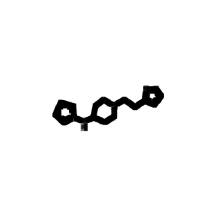 c1csc(CCN2CCC(Nn3cccc3)CC2)c1